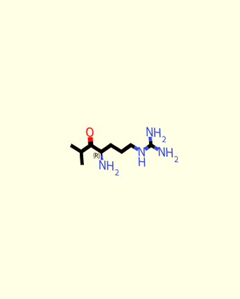 CC(C)C(=O)[C@H](N)CCCNC(N)N